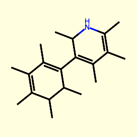 CC1=C(C)C(C)=C(C2=C(C)C(C)=C(C)C(C)C2C)C(C)N1